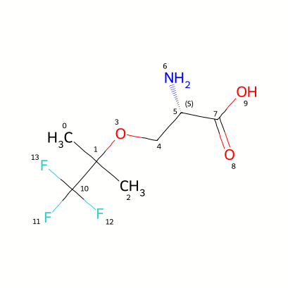 CC(C)(OC[C@H](N)C(=O)O)C(F)(F)F